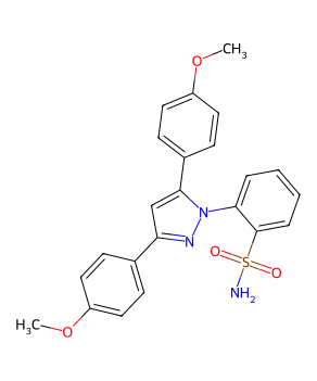 COc1ccc(-c2cc(-c3ccc(OC)cc3)n(-c3ccccc3S(N)(=O)=O)n2)cc1